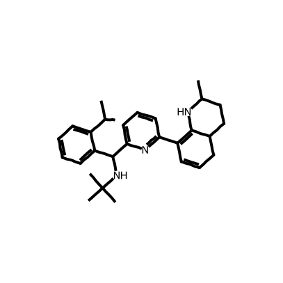 CC1CCC2CC=CC(c3cccc(C(NC(C)(C)C)c4ccccc4C(C)C)n3)=C2N1